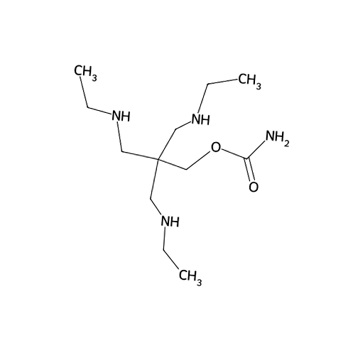 CCNCC(CNCC)(CNCC)COC(N)=O